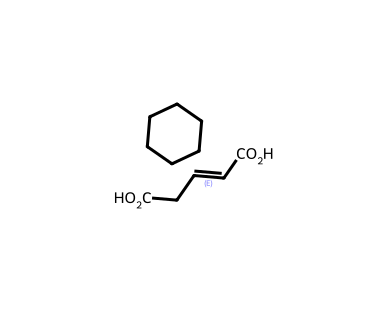 C1CCCCC1.O=C(O)/C=C/CC(=O)O